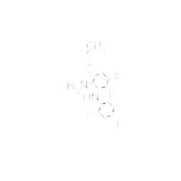 C=CCOc1cc(F)c(F)c(Nc2ccc(I)cc2F)c1N